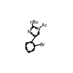 CCCCc1nc(-c2ccccc2Br)cn1C(C)=O